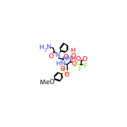 COc1ccc(S(=O)(=O)CC(NC(=O)CN(C(=O)CN)c2ccccc2)C(=O)NO)cc1.O=C(O)C(F)(F)F